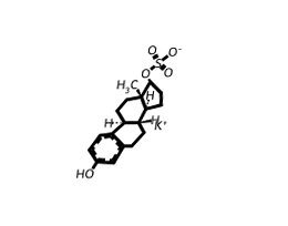 C[C@]12CC[C@@H]3c4ccc(O)cc4CC[C@H]3[C@@H]1CC[C@H]2OS(=O)(=O)[O-].[K+]